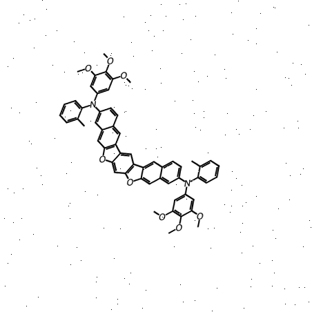 COc1cc(N(c2ccc3cc4c(cc3c2)oc2cc3oc5cc6cc(N(c7cc(OC)c(OC)c(OC)c7)c7ccccc7C)ccc6cc5c3cc24)c2ccccc2C)cc(OC)c1OC